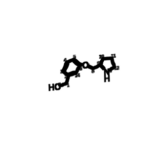 OCc1cccc(OCC2CCCN2)c1